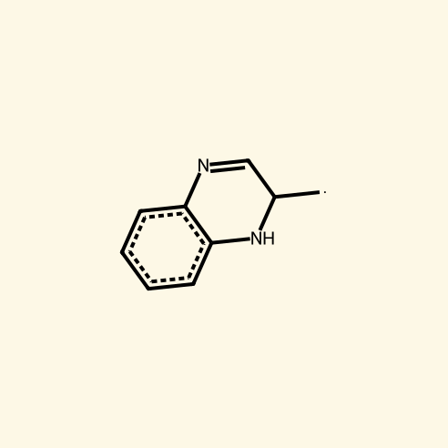 [CH2]C1C=Nc2ccccc2N1